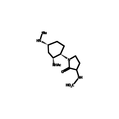 CC(=O)N[C@@H]1C[C@H](NC(C)(C)C)CC[C@@H]1N1CCC(NC(=O)O)C1=O